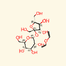 C=COC=C.OC[C@H]1O[C@@](CO)(O[C@H]2O[C@H](CO)[C@@H](O)[C@H](O)[C@H]2O)[C@@H](O)[C@@H]1O